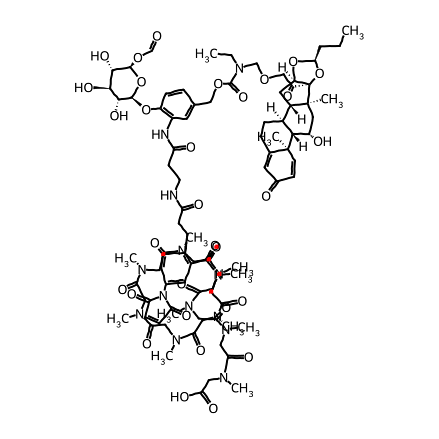 CCC[C@@H]1O[C@@H]2C[C@H]3[C@@H]4CCC5=CC(=O)C=C[C@]5(C)[C@H]4[C@@H](O)C[C@]3(C)[C@]2(C(=O)COCN(CC)C(=O)OCc2ccc(O[C@@H]3O[C@H](OC=O)[C@@H](O)[C@H](O)[C@H]3O)c(NC(=O)CCNC(=O)CCc3ccc(N4C(=O)C=CC4=O)cc3C(=O)N(C)CC(=O)N(C)CC(=O)N(C)CC(=O)N(C)CC(=O)N(C)CC(=O)N(C)CC(=O)N(C)CC(=O)N(C)CC(=O)N(C)CC(=O)N(C)CC(=O)O)c2)O1